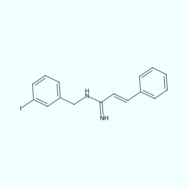 N=C(C=Cc1ccccc1)NCc1cccc(I)c1